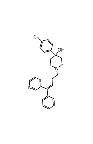 OC1(c2ccc(Cl)cc2)CCN(CCC=C(c2ccccc2)c2cccnc2)CC1